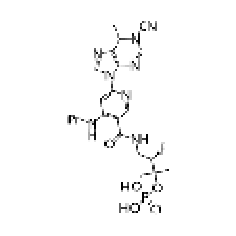 CC(C)Nc1cc(-n2cnc3c2N=CN(C#N)C3C)ncc1C(=O)NC[C@@H](F)C(C)(C)OP(=O)(O)O